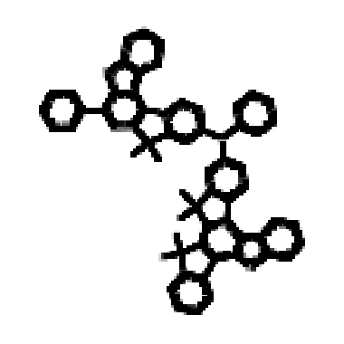 CC1(C)c2cc(N(c3ccccc3)c3ccc4c(c3)C(C)(C)c3c5c(c6oc7ccccc7c6c3-4)-c3ccccc3C5(C)C)ccc2-c2c1cc(-c1ccccc1)c1sc3ccccc3c21